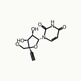 C#C[C@]1(C[O])O[C@@H](n2ccc(=O)[nH]c2=O)[C@H](O)[C@@H]1O